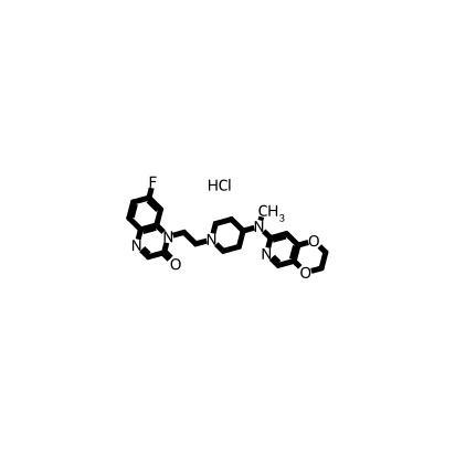 CN(c1cc2c(cn1)OCCO2)C1CCN(CCn2c(=O)cnc3ccc(F)cc32)CC1.Cl